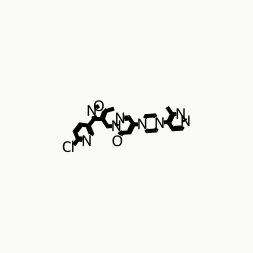 Cc1nnccc1N1CCN(c2cnn(Cc3c(-c4ccc(Cl)nc4)noc3C)c(=O)c2)CC1